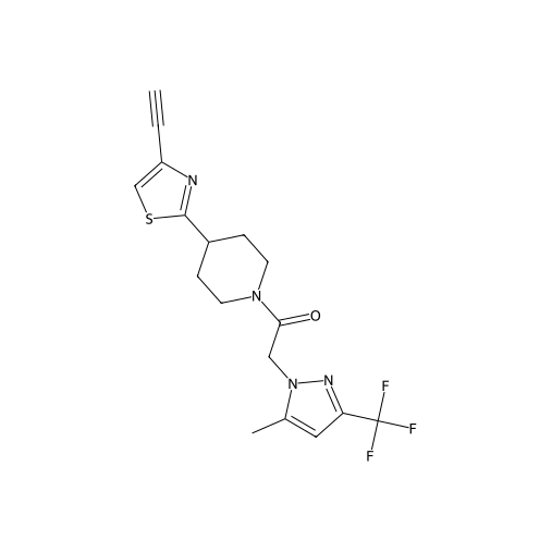 C#Cc1csc(C2CCN(C(=O)Cn3nc(C(F)(F)F)cc3C)CC2)n1